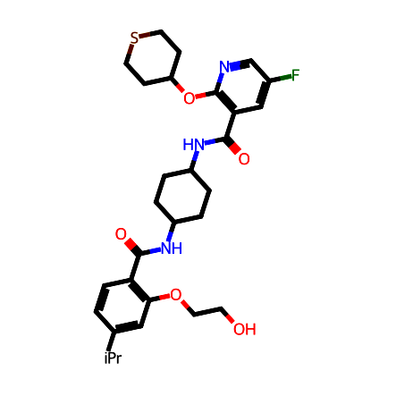 CC(C)c1ccc(C(=O)NC2CCC(NC(=O)c3cc(F)cnc3OC3CCSCC3)CC2)c(OCCO)c1